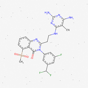 CS(=O)(=O)c1cccc2nc(CCNc3nc(N)nc(N)c3C#N)n(-c3cc(F)cc(C(F)F)c3)c(=O)c12